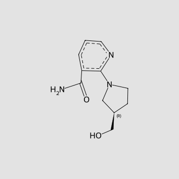 NC(=O)c1cccnc1N1CC[C@@H](CO)C1